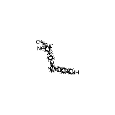 CC(C)(c1ccc(OCc2ccnc(N3CCC4(CC3)CCN(C3CCNCC3)CC4)n2)cc1)c1cc(Cl)c(OCCCl)c(C#N)c1